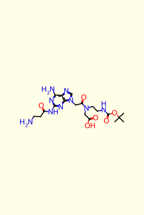 CC(C)(C)OC(=O)NCCN(CC(=O)O)C(=O)Cn1cnc2c(N)nc(NC(=O)CCN)nc21